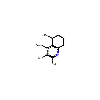 CCCCC1CCCc2nc(C#N)c(C#N)c(SC)c21